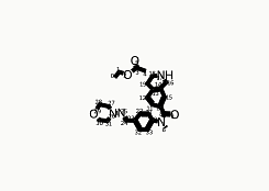 CCOC(C)=O.CN(C(=O)c1ccc2c(c1)CNCC2)c1ccc(C=NN2CCOCC2)cc1